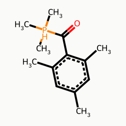 Cc1cc(C)c(C(=O)[PH](C)(C)C)c(C)c1